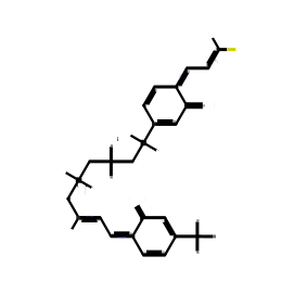 C=c1cc(C(C)(C)C)cc/c1=C/C=C(\C)CC(C)(C)CC(C)(C)CC(C)(C)c1cc/c(=C/C=C(\C)S)c(=C)c1